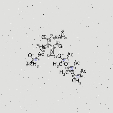 CC(=O)/C=C(/C)[O-].CC(=O)/C=C(/C)[O-].CC(=O)/C=C(/C)[O-].CC(=O)/C=C(/C)[O-].O=C1C=C(N2CC2)C(=O)C(N2CC2)=C1N1CC1.[Ti+4]